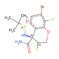 CC(C)(C)[S@+]([O-])N[C@@]1(C(N)=O)c2ccc(Br)c(F)c2OC[C@H]1F